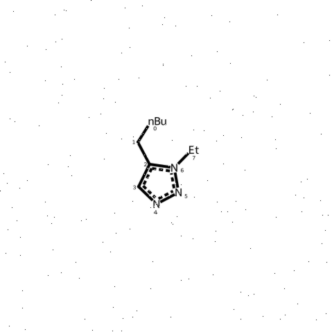 CCCCCc1cnnn1CC